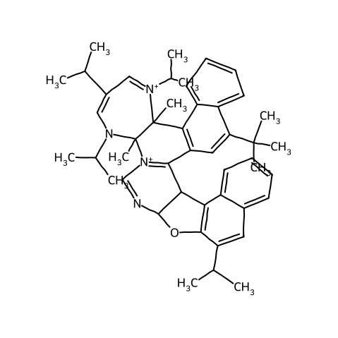 CC(C)C1=CN(C(C)C)C2(C)[N+]3=C(c4cc(C(C)(C)C)c5ccccc5c4C2(C)[N+](C(C)C)=C1)C1c2c(c(C(C)C)cc4ccccc24)OC1N=C3